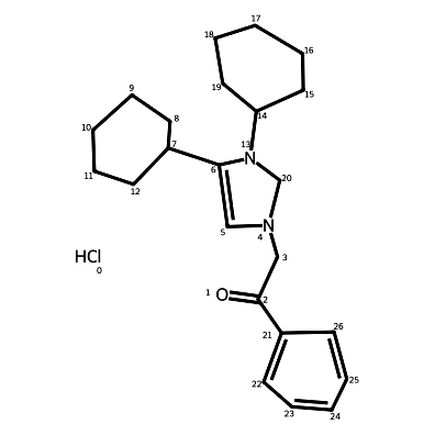 Cl.O=C(CN1C=C(C2CCCCC2)N(C2CCCCC2)C1)c1ccccc1